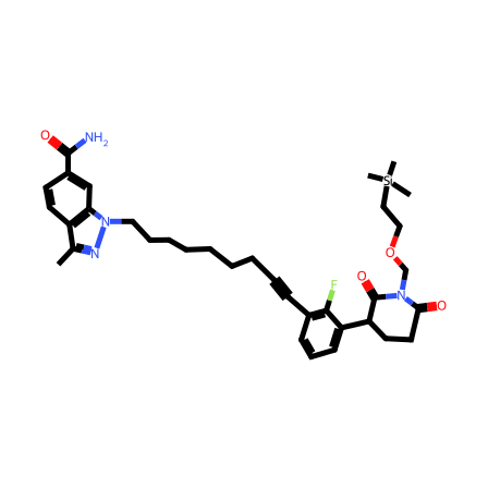 Cc1nn(CCCCCCCC#Cc2cccc(C3CCC(=O)N(COCC[Si](C)(C)C)C3=O)c2F)c2cc(C(N)=O)ccc12